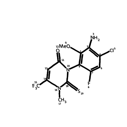 COc1c(N)c(Cl)cc(F)c1-n1c(=O)cc(C(F)(F)F)n(C)c1=S